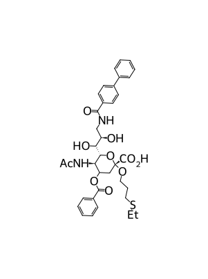 CCSCCCO[C@]1(C(=O)O)CC(OC(=O)c2ccccc2)[C@@H](NC(C)=O)[C@H](C(O)[C@H](O)CNC(=O)c2ccc(-c3ccccc3)cc2)O1